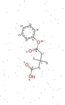 CC(C)(CC(=O)O)CC(=O)Oc1ccccc1